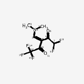 CN(C)C=C(C(=O)C(F)F)C(=O)C(F)(F)F